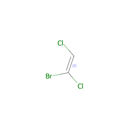 Cl/C=C(/Cl)Br